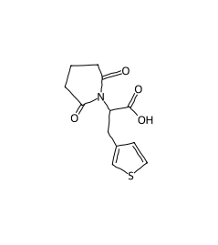 O=C(O)C(Cc1ccsc1)N1C(=O)CCCC1=O